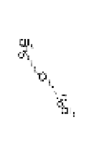 CCOC(=O)CCCCCCc1ccc(CCCCCCC(=O)OCC)cc1